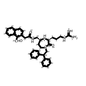 N=C(N)NCCC[C@@H]1N[C@H](CNC(=O)Cc2ccc3ccccc3c2C=O)CCN(CC(c2ccccc2)c2ccccc2)C1=O